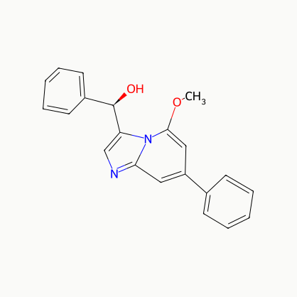 COc1cc(-c2ccccc2)cc2ncc([C@H](O)c3ccccc3)n12